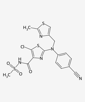 Cc1nc(CN(c2ccc(C#N)cc2)c2nc(C(=O)NS(C)(=O)=O)c(Cl)s2)cs1